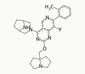 Cc1ccccc1-c1ncc2c(N3CC4CCC(C3)N4)nc(OCC34CCCN3CCC4)nc2c1F